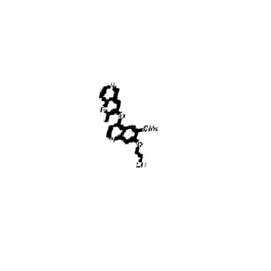 COc1cc2c(Oc3cc4cnccc4nc3C)ccnc2cc1OCCO